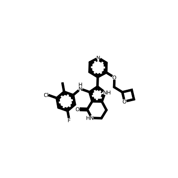 Cc1c(Cl)cc(F)cc1Nc1c(-c2ccncc2OCC2CCO2)[nH]c2c1C(=O)NCC2